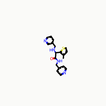 Cc1ccsc1C(NCc1cccnc1)C(=O)NCc1ccncc1